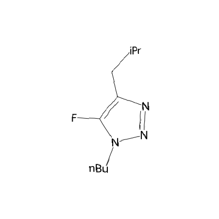 CCCCn1nnc(CC(C)C)c1F